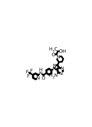 CC(O)C(=O)N1CCCC(c2nn(-c3ccc(C(=O)Nc4cc(C(F)(F)F)ccn4)cc3)c3c(N)ncnc23)C1